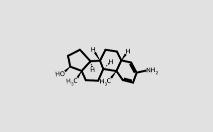 C[C@]12C=CC(N)=C[C@H]1CC[C@@H]1[C@@H]2CC[C@]2(C)[C@@H](O)CC[C@@H]12